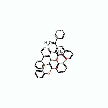 C=C(c1ccccc1)c1ccc2c(c1-c1cccc(-c3ccccc3)c1-c1c(C(=C)c3ccccc3)ccc3c1Sc1ccccc1S3)Sc1ccccc1S2